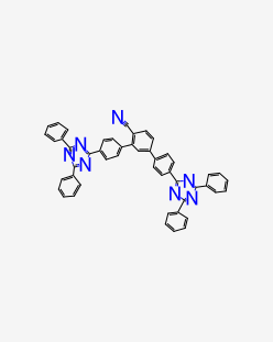 N#Cc1ccc(-c2ccc(-c3nc(-c4ccccc4)nc(-c4ccccc4)n3)cc2)cc1-c1ccc(-c2nc(-c3ccccc3)nc(-c3ccccc3)n2)cc1